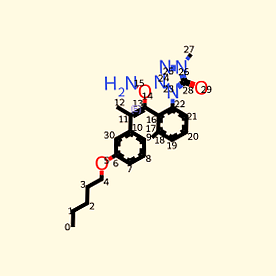 CCCCCOc1cccc(/C(C)=C(/ON)c2c(C)cccc2-n2nnn(C)c2=O)c1